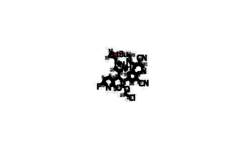 Cc1nc(F)ccc1C(c1cn(C23CC(C2)C3)nn1)N(C(=O)OCCl)c1cc(C#N)c2ncc(C#N)c(NCC(C)(C)C)c2c1